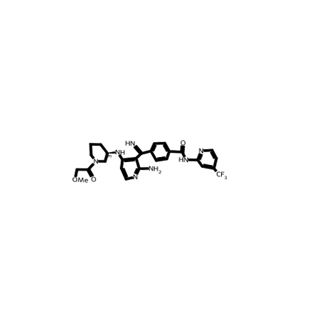 COCC(=O)N1CCC[C@@H](Nc2ccnc(N)c2C(=N)c2ccc(C(=O)Nc3cc(C(F)(F)F)ccn3)cc2)C1